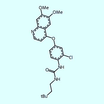 COc1cc2nccc(Oc3ccc(NC(=O)NCCC(C)(C)C)c(Cl)c3)c2cc1OC